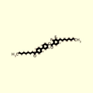 CCCCCCCCC(=O)c1ccc(-c2ccc(OC(=O)c3ccc(CCCCCCCC)c(F)c3F)cc2)cc1